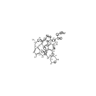 Cc1ccc([C@@H](c2ccn3c(C(F)(F)F)nnc3c2C)C(C)(C)C(=O)O)cc1CN1CC2(CCOCC2)Oc2nc(CCC(=O)OC(C)(C)C)ccc2S1(=O)=O